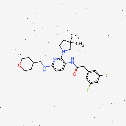 CC1(C)CCN(c2nc(NCC3CCOCC3)ccc2NC(=O)Cc2cc(F)cc(F)c2)C1